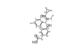 CCN(Cc1ccc(C)cc1-c1cc(CC(=O)O)ccc1O)C(=O)C1CC1